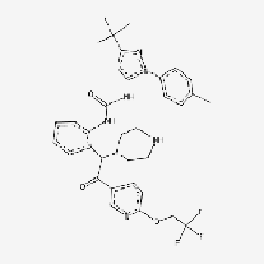 Cc1ccc(-n2nc(C(C)(C)C)cc2NC(=O)Nc2ccccc2C(C(=O)c2ccc(OCC(F)(F)F)nc2)C2CCNCC2)cc1